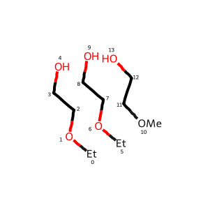 CCOCCO.CCOCCO.COCCO